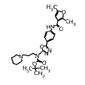 Cc1cc(C(=O)Nc2ccc(-c3nnc(N(CCCN4CCCCC4)C(=O)OC(C)(C)C)o3)cc2)c(C)o1